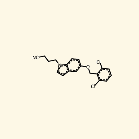 N#CCCCn1ccc2cc(OCc3c(Cl)cccc3Cl)ccc21